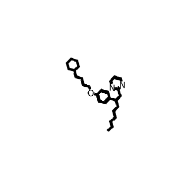 CCCCCCC(Cc1ncccn1)c1ccc(OCCCCC2CCCCC2)cc1